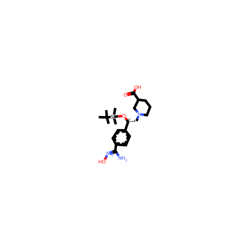 CC(C)(C)[Si](C)(C)O[C@H](CN1CCCC(C(=O)O)C1)c1ccc(/C(N)=N/O)cc1